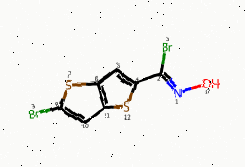 O/N=C(\Br)c1cc2sc(Br)cc2s1